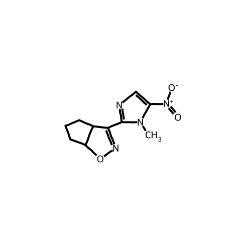 Cn1c([N+](=O)[O-])cnc1C1=NOC2CCCC12